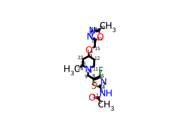 CC(=O)Nc1nc(F)c(CN2CCC(OCc3nnc(C)o3)CC2C)s1